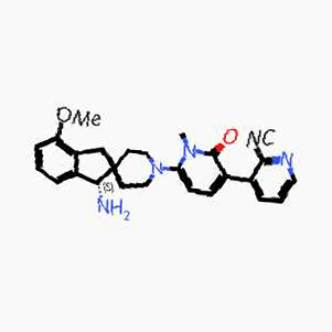 COc1cccc2c1CC1(CCN(c3ccc(-c4cccnc4C#N)c(=O)n3C)CC1)[C@@H]2N